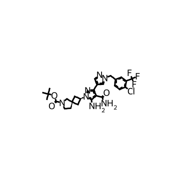 CC(C)(C)OC(=O)N1CC[C@]2(C1)C[C@H](n1nc(-c3cnn(Cc4ccc(Cl)c(C(F)(F)F)c4)c3)c(C(N)=O)c1N)C2